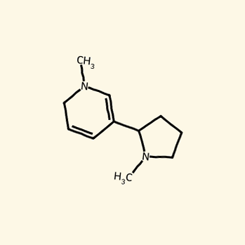 CN1C=C(C2CCCN2C)C=CC1